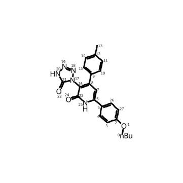 CCCCOc1ccc(-c2cc(-c3ccc(C)cc3)c(-n3nn[nH]c3=O)c(=O)[nH]2)cc1